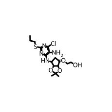 CCCSc1nc(Cl)c(N)c(NC2C[C@H](OCCO)C3OC(C)(C)OC23)n1